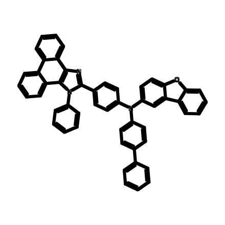 c1ccc(-c2ccc(N(c3ccc(-c4nc5c6ccccc6c6ccccc6c5n4-c4ccccc4)cc3)c3ccc4oc5ccccc5c4c3)cc2)cc1